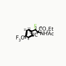 CCOC(=O)C(C#N)(NC(C)=O)C(F)c1ccc(C(F)(F)F)cc1